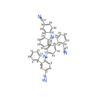 N#Cc1ccc2c(c1)c1ccccc1n2-c1ccc(-c2c(C#N)cccc2-n2c3ccccc3c3cc(C#N)ccc32)cc1